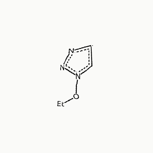 CCOn1c[c]nn1